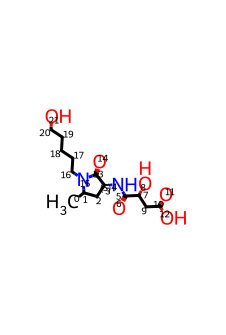 CC1C[C@H](NC(=O)C(O)CC(=O)O)C(=O)N1CCCCCO